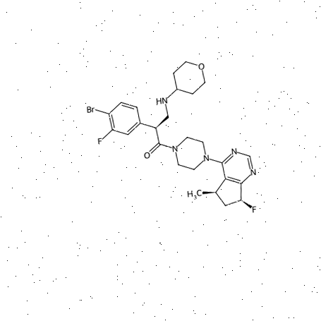 C[C@@H]1C[C@H](F)c2ncnc(N3CCN(C(=O)[C@H](CNC4CCOCC4)c4ccc(Br)c(F)c4)CC3)c21